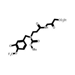 CCOC(=O)CC(=O)CNC(=O)CCN(Cc1ccc(OC(F)(F)F)c(Cl)c1)C(=O)OC(C)(C)C